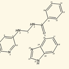 O=C(NCNc1cccnc1)c1ccccc1.c1ccc2[nH]cnc2c1